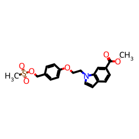 COC(=O)c1ccc2ccn(CCOc3ccc(COS(C)(=O)=O)cc3)c2c1